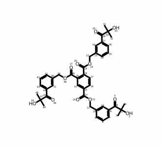 CC(C)(O)C(=O)c1cccc(COC(=O)c2ccc(C(=O)OCc3cccc(C(=O)C(C)(C)O)c3)c(C(=O)OCc3cccc(C(=O)C(C)(C)O)c3)c2)c1